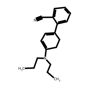 CCCN(CCC)C1=CC=C(c2ccccc2C#N)CC1